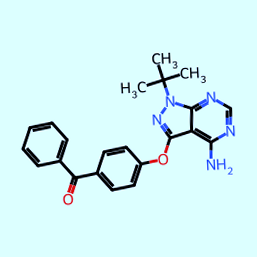 CC(C)(C)n1nc(Oc2ccc(C(=O)c3ccccc3)cc2)c2c(N)ncnc21